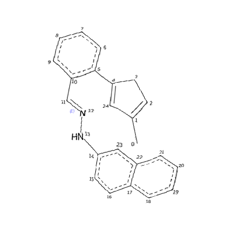 CC1=CCC(c2ccccc2/C=N/Nc2ccc3ccccc3c2)=C1